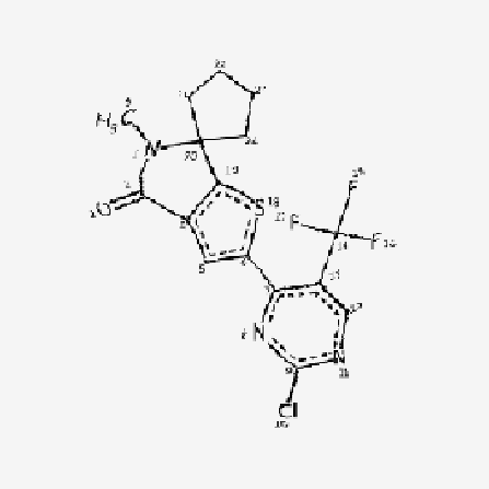 CN1C(=O)c2cc(-c3nc(Cl)ncc3C(F)(F)F)sc2C12CCCC2